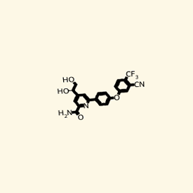 N#Cc1cc(Oc2ccc(-c3cc([C@H](O)CO)cc(C(N)=O)n3)cc2)ccc1C(F)(F)F